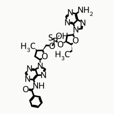 CC[C@H]1O[C@@H](n2cnc3c(N)ncnc32)C[C@@H]1O[P@](O)(=S)OC[C@H]1O[C@@H](n2cnc3c(NC(=O)c4ccccc4)ncnc32)C[C@@H]1C